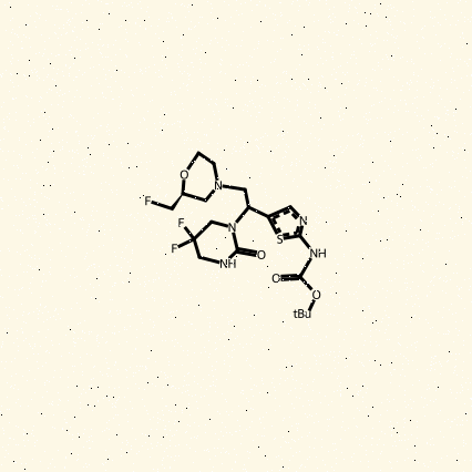 CC(C)(C)OC(=O)Nc1ncc(C(CN2CCO[C@H](CF)C2)N2CC(F)(F)CNC2=O)s1